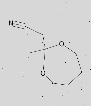 CC1(CC#N)OCCCCO1